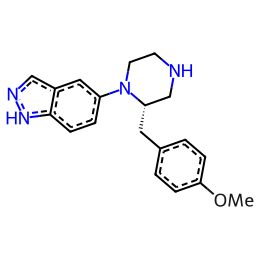 COc1ccc(C[C@H]2CNCCN2c2ccc3[nH]ncc3c2)cc1